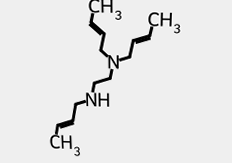 CC=CCNCCN(CC=CC)CC=CC